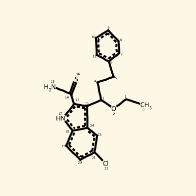 CCOC(CCc1ccccc1)c1c(C(N)=S)[nH]c2ccc(Cl)cc12